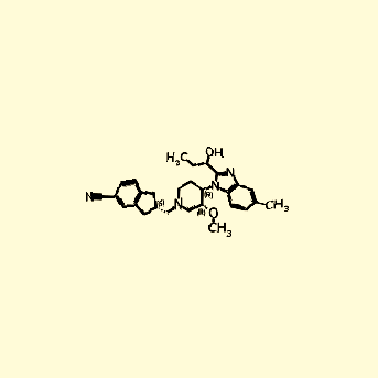 CCC(O)c1nc2cc(C)ccc2n1[C@@H]1CCN(C[C@H]2Cc3ccc(C#N)cc3C2)C[C@H]1OC